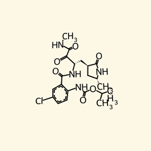 CNC(=O)C(=O)[C@H](C[C@@H]1C[C@@H](C)NC1=O)NC(=O)c1cc(Cl)ccc1NC(=O)OC(C)C